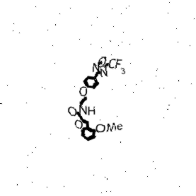 COc1cccc2oc(C(=O)NCCOc3ccc(-c4noc(C(F)(F)F)n4)cc3)cc12